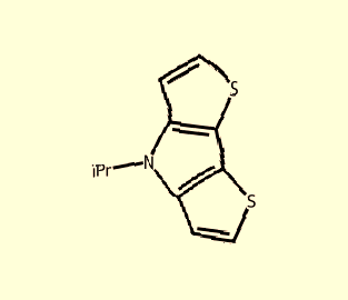 CC(C)n1c2ccsc2c2sccc21